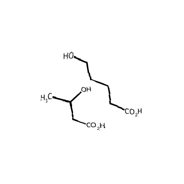 CC(O)CC(=O)O.O=C(O)CCCCO